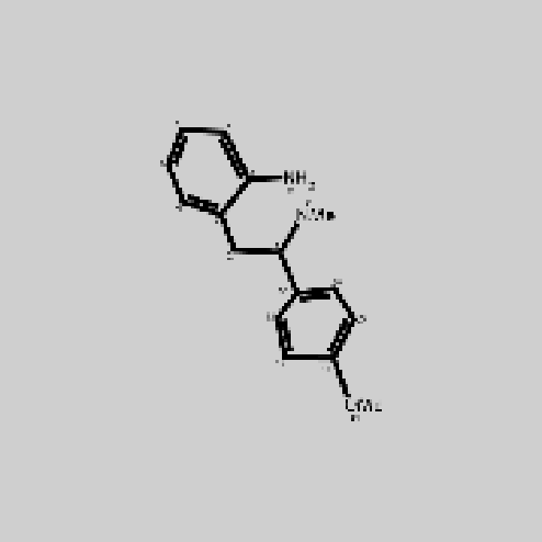 CNC(Cc1ccccc1N)c1ccc(OC)cc1